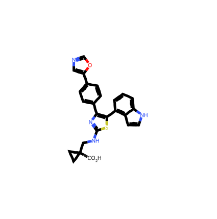 O=C(O)C1(CNc2nc(-c3ccc(-c4cnco4)cc3)c(-c3cccc4[nH]ccc34)s2)CC1